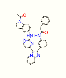 CC(=O)N1CCc2cc(Nc3nccc(-c4c(-c5cccc(NC(=O)Cc6ccccc6)c5)nc5ccccn45)n3)ccc21